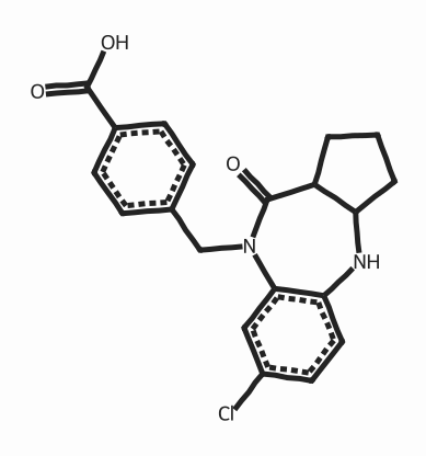 O=C(O)c1ccc(CN2C(=O)C3CCCC3Nc3ccc(Cl)cc32)cc1